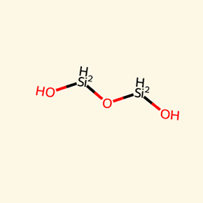 O[SiH2]O[SiH2]O